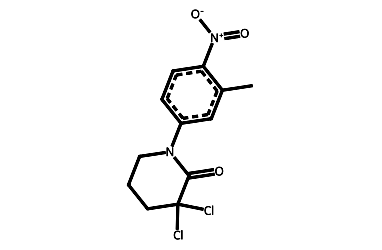 Cc1cc(N2CCCC(Cl)(Cl)C2=O)ccc1[N+](=O)[O-]